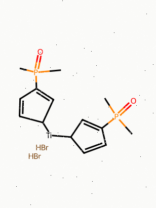 Br.Br.CP(C)(=O)C1=C[CH]([Ti][CH]2C=CC(P(C)(C)=O)=C2)C=C1